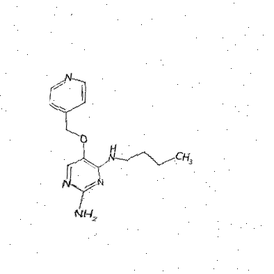 CCCCNc1nc(N)ncc1OCc1ccncc1